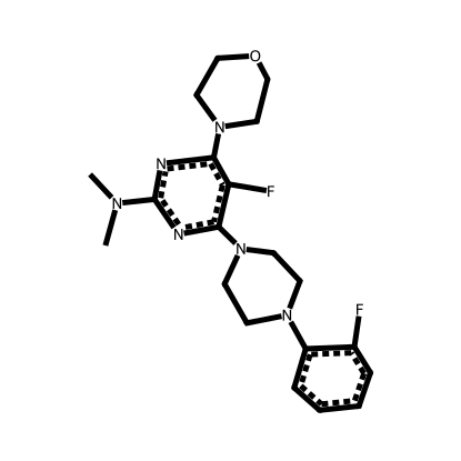 CN(C)c1nc(N2CCOCC2)c(F)c(N2CCN(c3ccccc3F)CC2)n1